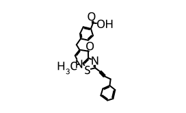 Cn1cc(Cc2ccc(C(=O)O)cc2)c(=O)c2nc(C#CCc3ccccc3)sc21